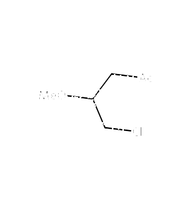 COC(CCl)CC(C)=O